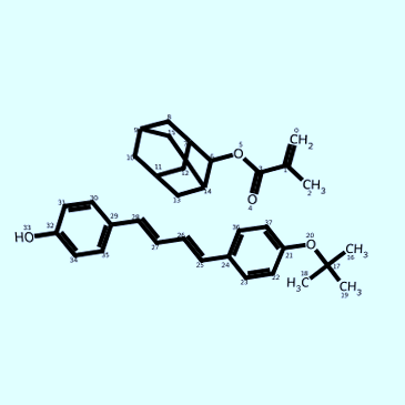 C=C(C)C(=O)OC1C2CC3CC(C2)CC1C3.CC(C)(C)Oc1ccc(C=CC=Cc2ccc(O)cc2)cc1